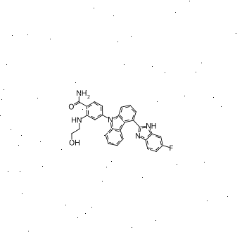 NC(=O)c1ccc(-n2c3ccccc3c3c(-c4nc5ccc(F)cc5[nH]4)cccc32)cc1NCCO